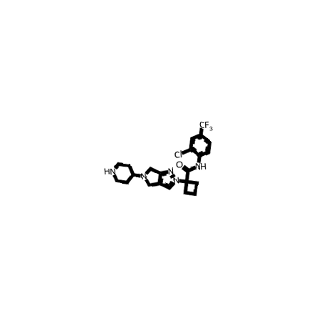 O=C(Nc1ccc(C(F)(F)F)cc1Cl)C1(n2cc3c(n2)CN(C2CCNCC2)C3)CCC1